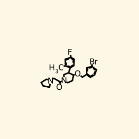 Cc1cc(F)ccc1C1CN(C(=O)CN2CCCC2)CCC1OCc1cccc(Br)c1